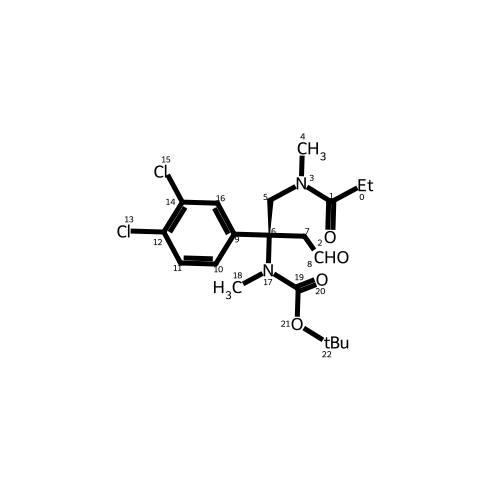 CCC(=O)N(C)C[C@](CC=O)(c1ccc(Cl)c(Cl)c1)N(C)C(=O)OC(C)(C)C